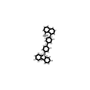 Bc1cccc2cccc(-c3ccc(-c4ccc(-n5c6ccccc6c6ccccc65)cc4)cc3)c12